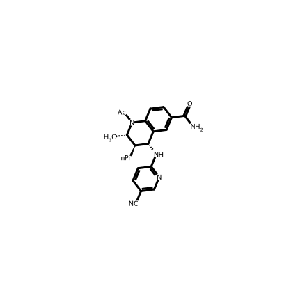 CCC[C@@H]1[C@@H](Nc2ccc(C#N)cn2)c2cc(C(N)=O)ccc2N(C(C)=O)[C@H]1C